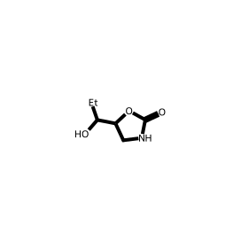 CCC(O)C1CNC(=O)O1